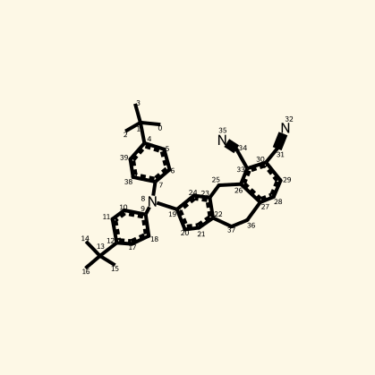 CC(C)(C)c1ccc(N(c2ccc(C(C)(C)C)cc2)c2ccc3c(c2)Cc2c(ccc(C#N)c2C#N)CC3)cc1